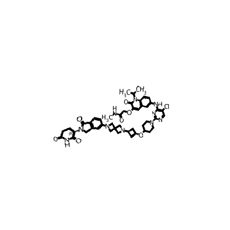 CNC(=O)COc1cc2cc(Nc3nc(N4CCC(OC5CC(N6CC7(CN(c8ccc9c(c8)CN([C@@H]8CCC(=O)NC8=O)C9=O)C7)C6)C5)CC4)ncc3Cl)ccc2n(C(C)C)c1=O